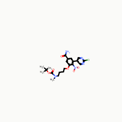 CN(CCCCOc1cc(C(N)=O)cc(-c2cnc(Cl)nc2)c1[N+](=O)[O-])C(=O)OC(C)(C)C